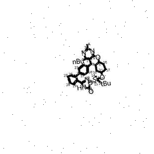 CCCCc1nc(C)nc(OC2CCC(O[Si](C)(C)C(C)(C)C)CC2)c1Cc1ccc(-c2ccccc2-c2noc(=O)[nH]2)cc1